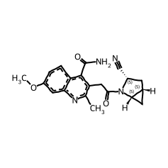 COc1ccc2c(C(N)=O)c(CC(=O)N3[C@H](C#N)C[C@@H]4C[C@@H]43)c(C)nc2c1